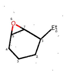 [CH2]CC1CCCC2OC12